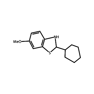 COc1ccc2c(c1)SC(C1CCCCC1)N2